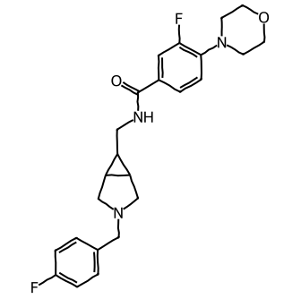 O=C(NCC1C2CN(Cc3ccc(F)cc3)CC12)c1ccc(N2CCOCC2)c(F)c1